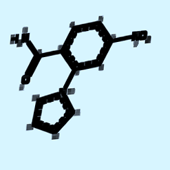 NC(=O)c1ccc([N+](=O)[O-])cc1-n1cccc1